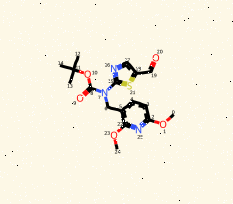 COc1ccc(CN(C(=O)OC(C)(C)C)c2ncc(C=O)s2)c(OC)n1